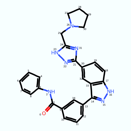 O=C(Nc1ccccc1)c1cccc(-c2n[nH]c3ccc(-c4n[nH]c(CN5CCCC5)n4)cc23)c1